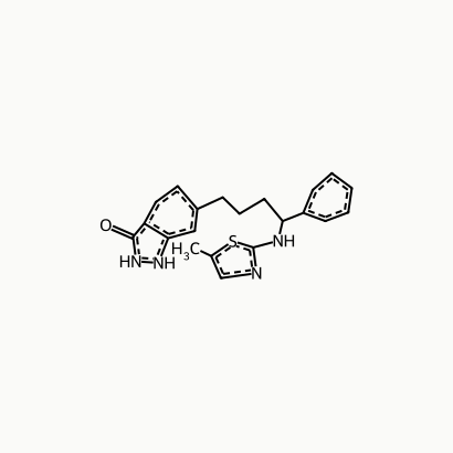 Cc1cnc(NC(CCCc2ccc3c(=O)[nH][nH]c3c2)c2ccccc2)s1